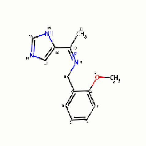 COc1ccccc1C/N=C(/C)c1cnc[nH]1